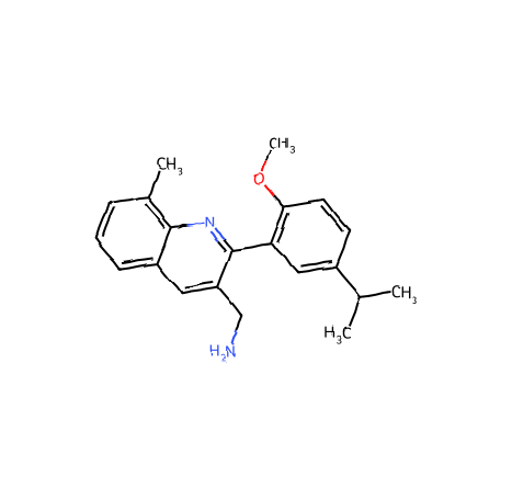 COc1ccc(C(C)C)cc1-c1nc2c(C)cccc2cc1CN